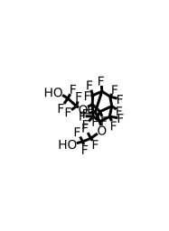 OC(F)(F)C(F)(F)OC12C(F)(F)C3(F)C(F)(F)C(F)(C1(F)F)C(F)(F)C(OC(F)(F)C(O)(F)F)(C3(F)F)C2(F)F